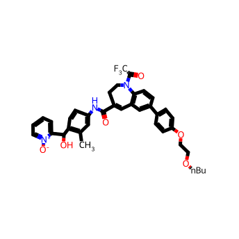 CCCCOCCOc1ccc(-c2ccc3c(c2)C=C(C(=O)Nc2ccc(C(O)c4cccc[n+]4[O-])c(C)c2)CCN3C(=O)C(F)(F)F)cc1